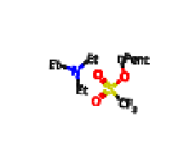 CCCCCOS(=O)(=O)C(F)(F)F.CCN(CC)CC